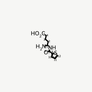 NC(CCCC(=O)O)NC(=O)c1cccs1